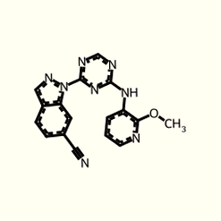 COc1ncccc1Nc1ncnc(-n2ncc3ccc(C#N)cc32)n1